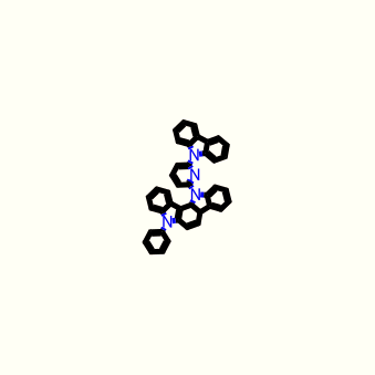 C1=CC2c3ccccc3N(c3cccc(-n4c5ccccc5c5ccccc54)n3)C2c2c1n(-c1ccccc1)c1ccccc21